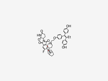 CCC(=C(c1ccc(O)cc1)c1ccc(OCCN2CCC(CN3C4CCC3CN(c3cc5c(cc3F)C(=O)N(C3CCC(=O)NC3=O)C5=O)C4)CC2)cc1)c1ccc(O)cc1